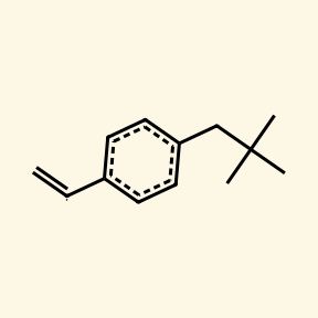 C=[C]c1ccc(CC(C)(C)C)cc1